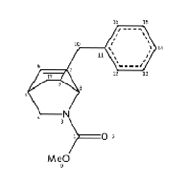 COC(=O)N1CC2C=CC1C(Cc1ccccc1)C2